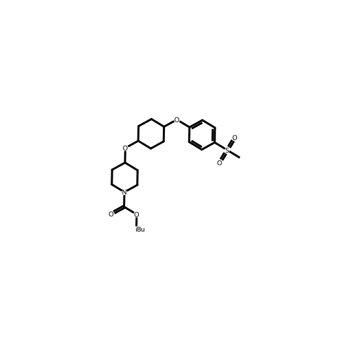 CCC(C)OC(=O)N1CCC(OC2CCC(Oc3ccc(S(C)(=O)=O)cc3)CC2)CC1